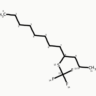 CCCCCCCCC(CCC)SC(F)(F)F